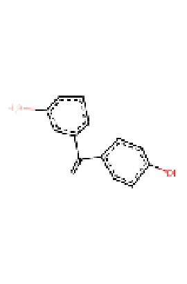 Bc1cccc(C(=C)c2ccc(O)cc2)c1